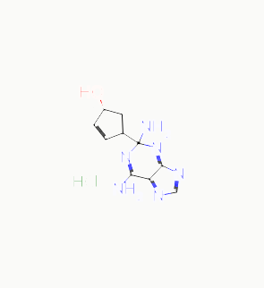 Cl.NC1=NC(N)(C2C=C[C@@H](O)C2)N=C2N=CN=C12